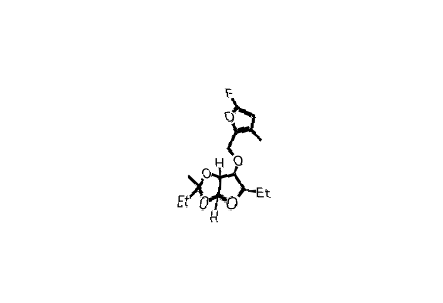 CC[C@H]1O[C@@H]2OC(C)(CC)O[C@@H]2[C@H]1OCc1oc(F)cc1C